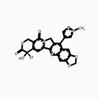 CC[C@@]1(O)C(=O)OCc2c1cc1n(c2=O)Cc2c-1nc1cc3c(cc1c2-c1cnn(C)c1)OCO3